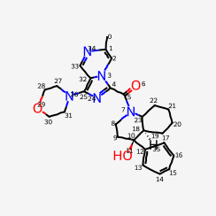 Cc1cn2c(C(=O)N3CC[C@@](O)(c4ccccc4)[C@@H]4CCCCC43)nc(N3CCOCC3)c2cn1